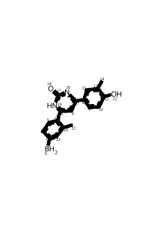 Bc1ccc(-c2cc(-c3ccc(O)c(C)c3)nc(=O)[nH]2)c(C)c1